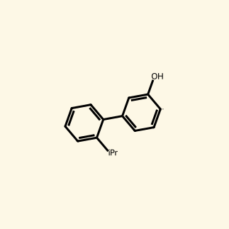 CC(C)c1ccccc1-c1cc[c]c(O)c1